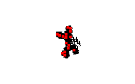 CC1(C)c2cc(N(c3ccc(-c4cccc5ccccc45)cc3)c3ccc4oc5ccccc5c4c3)ccc2-c2cc3c4c(ccc5c6sc7ccccc7c6cc(c54)n3-c3ccc4ccccc4c3)c21